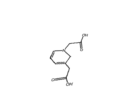 O=C(O)CC1=CC=CN(CC(=O)O)C1